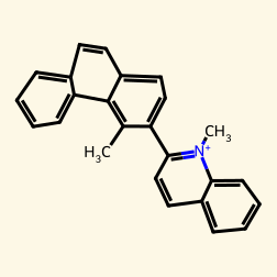 Cc1c(-c2ccc3ccccc3[n+]2C)ccc2ccc3ccccc3c12